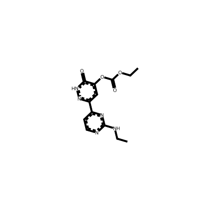 CCNc1nccc(-c2cc(OC(=O)OCC)c(=O)[nH]n2)n1